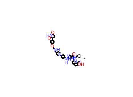 C=CCn1c(=O)c2cnc(Nc3ccc(N4CCC(CNCCOc5ccc(C6CCC(=O)NC6=O)cc5)CC4)cc3)nc2n1-c1ccc2c(n1)[C@@](O)(CI)CC2